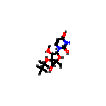 CO[C@H]1[C@H](n2ccc(=O)[nH]c2=O)O[C@@H]2C(=O)C21O[Si](C)(C)C(C)(C)C